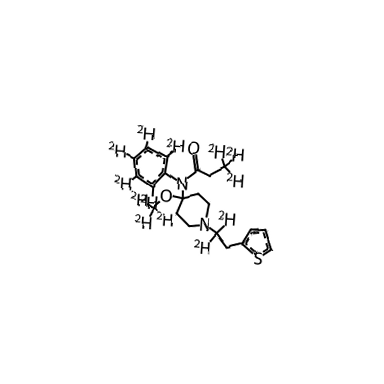 [2H]c1c([2H])c([2H])c(N(C(=O)CC([2H])([2H])[2H])C2(OC([2H])([2H])[2H])CCN(C([2H])([2H])Cc3cccs3)CC2)c([2H])c1[2H]